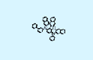 c1ccc(-c2cccc(N(c3ccc4ccccc4c3)c3ccc(N(c4ccccc4)c4ccc5ccccc5c4)c4oc5cc6ccccc6cc5c34)c2)cc1